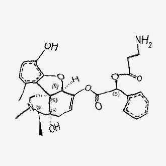 Cc1ccc(O)c2c1[C@]13CCN(C)[C@H](C)[C@]1(O)CC=C(OC(=O)[C@@H](OC(=O)CCN)c1ccccc1)[C@@H]3O2